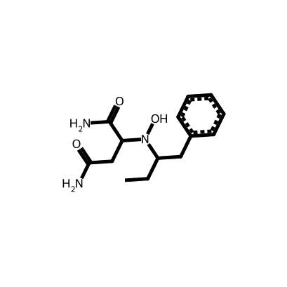 CCC(Cc1ccccc1)N(O)C(CC(N)=O)C(N)=O